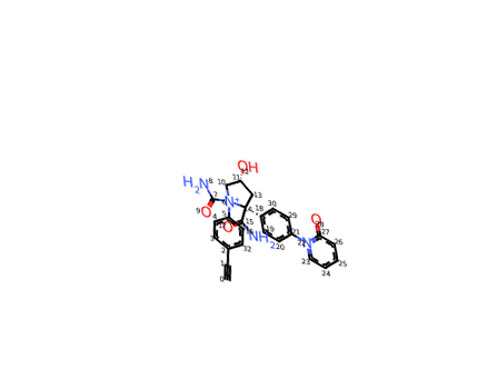 C#Cc1ccc([N+]2(C(N)=O)C[C@H](O)C[C@]2(C(N)=O)c2ccc(-n3ccccc3=O)cc2)cc1